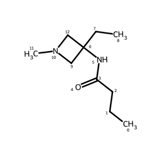 CCCC(=O)NC1(CC)CN(C)C1